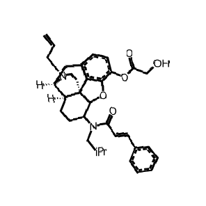 C=CCN1CC[C@]23c4c5ccc(OC(=O)CO)c4OC2C(N(CC(C)C)C(=O)/C=C/c2ccccc2)CC[C@H]3[C@H]1C5